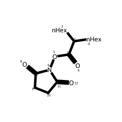 CCCCCCC(CCCCCC)C(=O)ON1C(=O)CCC1=O